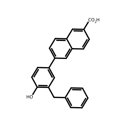 O=C(O)c1ccc2cc(-c3ccc(O)c(Cc4ccccc4)c3)ccc2c1